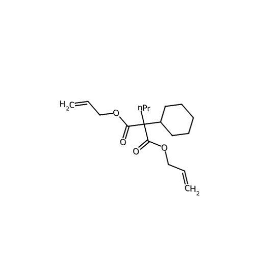 C=CCOC(=O)C(CCC)(C(=O)OCC=C)C1CCCCC1